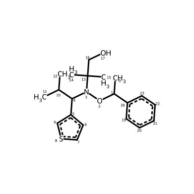 CC(ON(C(c1ccsc1)C(C)C)C(C)(C)CO)c1ccccc1